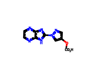 O=C(O)Oc1cnn(-c2nc3nccnc3[nH]2)c1